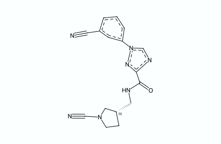 N#Cc1cccc(-n2cnc(C(=O)NC[C@@H]3CCN(C#N)C3)n2)c1